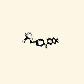 CC1(C)Cc2ccc(Nc3ccc(COC(N)=O)cc3)cc2C1